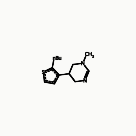 CCCCc1sccc1C1CN=CN(C)C1